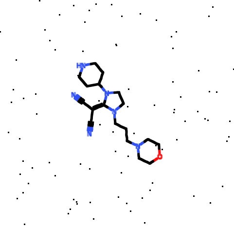 N#CC(C#N)=C1N(CCCN2CCOCC2)CCN1C1CCNCC1